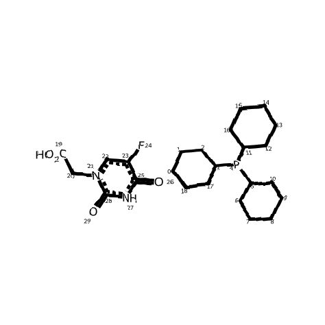 C1CCC(P(C2CCCCC2)C2CCCCC2)CC1.O=C(O)Cn1cc(F)c(=O)[nH]c1=O